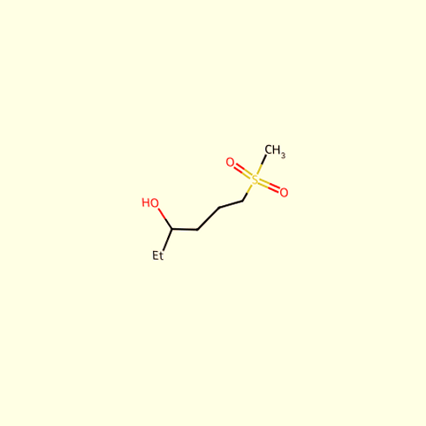 [CH2]CC(O)CCCS(C)(=O)=O